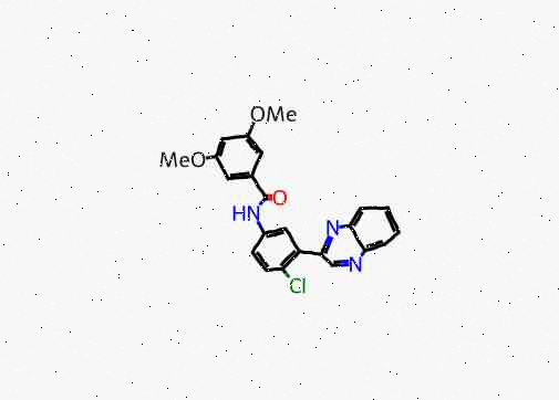 COc1cc(OC)cc(C(=O)Nc2ccc(Cl)c(-c3cnc4ccccc4n3)c2)c1